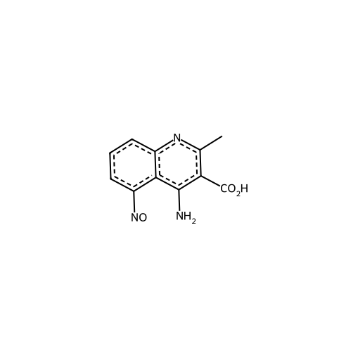 Cc1nc2cccc(N=O)c2c(N)c1C(=O)O